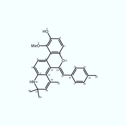 COc1c(O)ccc2c1-c1ccc3c(c1/C(=C/c1ccc(C)cc1)O2)C(C)=CC(C)(C)N3